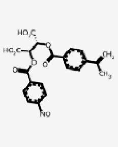 C=C(C)c1ccc(C(=O)O[C@@H](C(=O)O)[C@@H](OC(=O)c2ccc(N=O)cc2)C(=O)O)cc1